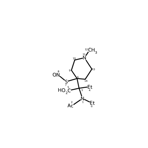 CCN(C(C)=O)C(CC)(C(=O)O)C1(SN=O)CCN(C)CC1